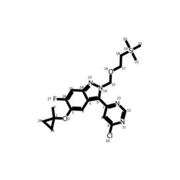 CC1(Oc2cc3c(-c4cc(Cl)ncn4)n(COCC[Si](C)(C)C)nc3cc2F)CC1